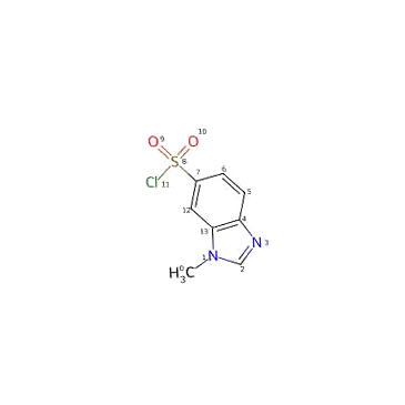 Cn1cnc2ccc(S(=O)(=O)Cl)cc21